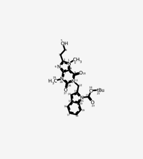 Cn1c(CCO)nc2c1c(=O)n(Cc1cc3ccccc3n1C(=O)OC(C)(C)C)c(=O)n2C